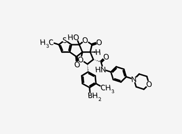 Bc1ccc([C@@H]2OC34C(=O)c5cc(C)sc5C3(O)OC(=O)[C@@H]4[C@@H]2C(=O)Nc2ccc(N3CCOCC3)cc2)cc1C